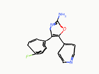 Nc1nc(-c2ccc(F)cc2)c(-c2ccncc2)o1